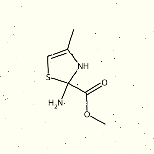 COC(=O)C1(N)NC(C)=CS1